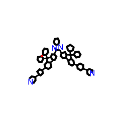 c1ccc(C2(c3ccccc3)c3cc(-c4ccc(-c5ccncc5)cc4)ccc3-c3ccc(-c4nc5ccccc5nc4-c4ccc5c(c4)C(c4ccccc4)(c4ccccc4)c4cc(-c6ccc(-c7ccncc7)cc6)ccc4-5)cc32)cc1